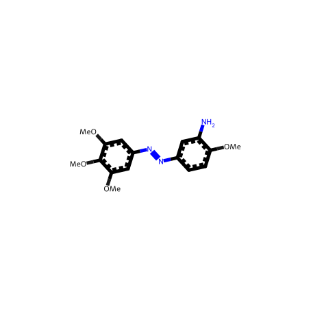 COc1ccc(/N=N/c2cc(OC)c(OC)c(OC)c2)cc1N